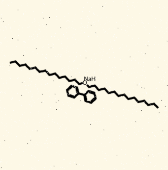 CCCCCCCCCCCCCCCOCCCCCCCCCCCCCCC.[NaH].c1ccc(-c2ccccc2)cc1